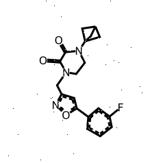 O=C1C(=O)N(C23CC(C2)C3)CCN1Cc1cc(-c2cccc(F)c2)on1